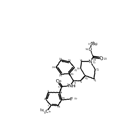 Cc1ccc(C(=O)NC(CC2CCN(C(=O)OC(C)(C)C)CC2)c2ccccc2)c(F)c1